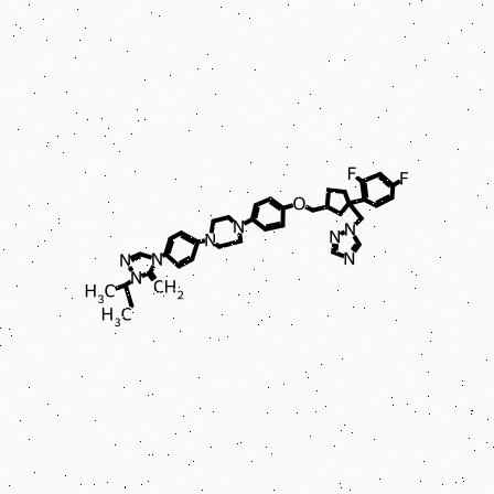 C=C1N(c2ccc(N3CCN(c4ccc(OCC5CCC(Cn6cncn6)(c6ccc(F)cc6F)C5)cc4)CC3)cc2)C=NN1C(C)CC